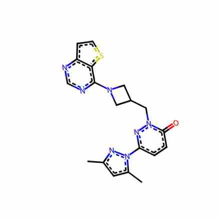 Cc1cc(C)n(-c2ccc(=O)n(CC3CN(c4ncnc5ccsc45)C3)n2)n1